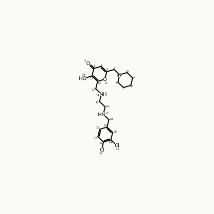 O=c1cc(CN2CCCCC2)oc(CNCCNCc2ccc(Cl)c(Cl)c2)c1O